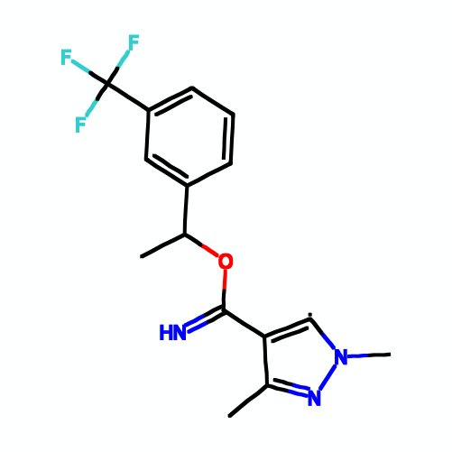 Cc1nn(C)[c]c1C(=N)OC(C)c1cccc(C(F)(F)F)c1